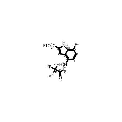 CCOC(=O)c1cc2c(N)ccc(F)c2[nH]1.O=C(O)C(F)(F)F